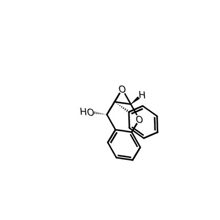 O[C@H]1c2ccccc2O[C@H]2O[C@@]21c1ccccc1